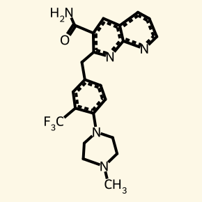 CN1CCN(c2ccc(Cc3nc4ncccc4cc3C(N)=O)cc2C(F)(F)F)CC1